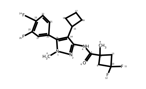 Cn1nc(NC(=O)C2(C)CC(F)(F)C2)c(C2CCC2)c1-c1ccc(F)c(F)c1